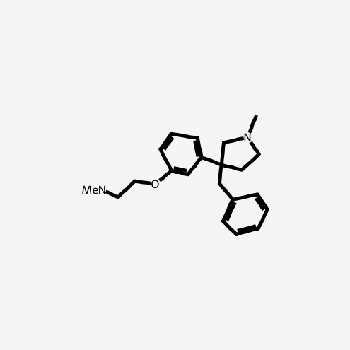 CNCCOc1cccc(C2(Cc3ccccc3)CCN(C)C2)c1